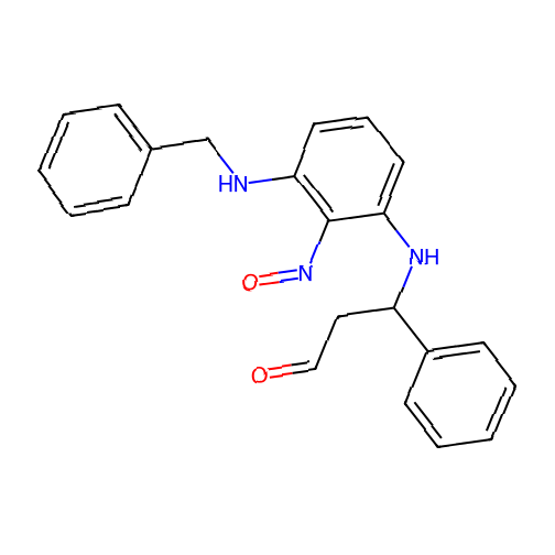 O=CCC(Nc1cccc(NCc2ccccc2)c1N=O)c1ccccc1